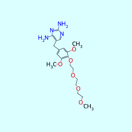 COCCOCCOCCOc1c(OC)cc(Cc2cnc(N)nc2N)cc1OC